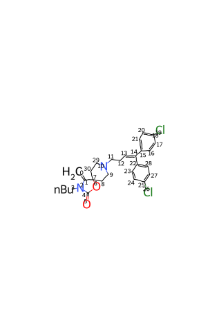 C=C1N(CCCC)C(=O)OC12CCN(CCC=C(c1ccc(Cl)cc1)c1ccc(Cl)cc1)CC2